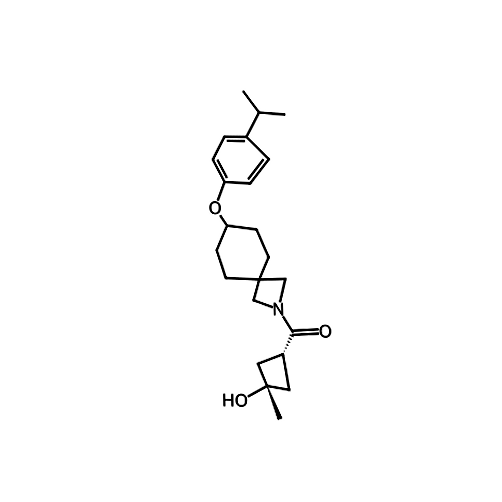 CC(C)c1ccc(OC2CCC3(CC2)CN(C(=O)[C@H]2C[C@@](C)(O)C2)C3)cc1